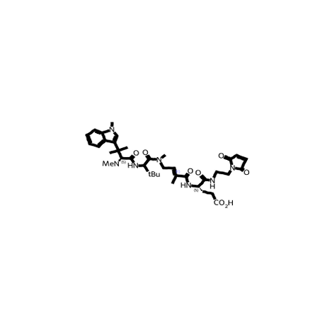 CN[C@H](C(=O)NC(C(=O)N(C)C/C=C(\C)C(=O)N[C@@H](CCC(=O)O)C(=O)NCCN1C(=O)C=CC1=O)C(C)(C)C)C(C)(C)c1cn(C)c2ccccc12